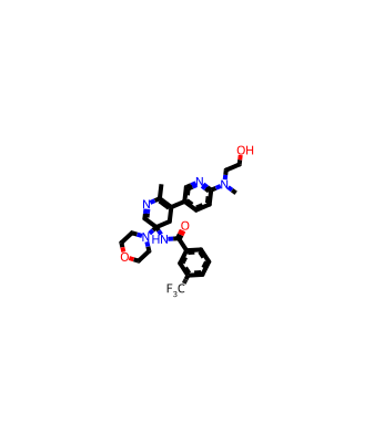 CC1=C(c2ccc(N(C)CCO)nc2)CC(NC(=O)c2cccc(C(F)(F)F)c2)(N2CCOCC2)C=N1